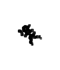 CNC(=O)C(CCC=S)N1C(=O)c2c(F)ccc([N+](=O)[O-])c2C1=O